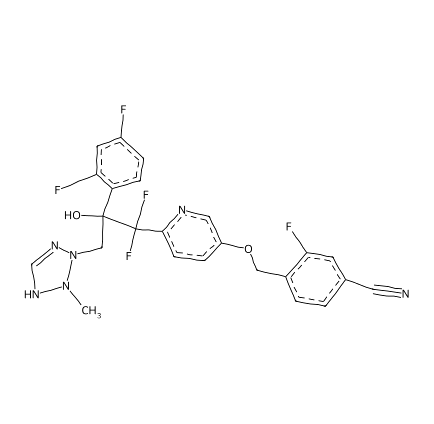 CN1NC=NN1CC(O)(c1ccc(F)cc1F)C(F)(F)c1ccc(OCc2ccc(C#N)cc2F)cn1